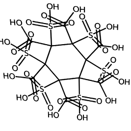 O=C(O)C1(S(=O)(=O)O)C(C(=O)O)(S(=O)(=O)O)C(C(=O)O)(S(=O)(=O)O)C(C(=O)O)(S(=O)(=O)O)C(C(=O)O)(S(=O)(=O)O)C1(C(=O)O)S(=O)(=O)O